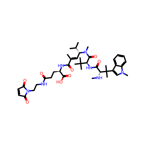 CN[C@H](C(=O)N[C@H](C(=O)N(C)[C@H](/C=C(\C)C(=O)N[C@H](CCC(=O)NCCN1C(=O)C=CC1=O)C(=O)O)C(C)C)C(C)(C)C)C(C)(C)c1cn(C)c2ccccc12